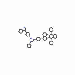 c1ccc(-c2cc(-c3ccc(-c4ccc5c6c(cccc46)-c4c-5c(-c5ccccc5)c5ccccc5c4-c4ccccc4)cc3)nc(-c3ccc(-c4ccnc5ccccc45)cc3)n2)cc1